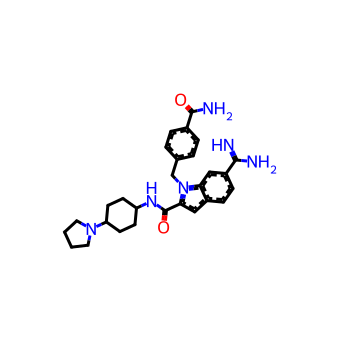 N=C(N)c1ccc2cc(C(=O)NC3CCC(N4CCCC4)CC3)n(Cc3ccc(C(N)=O)cc3)c2c1